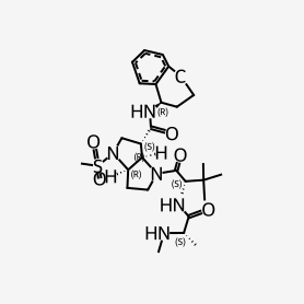 CN[C@@H](C)C(=O)N[C@H](C(=O)N1CC[C@@H]2[C@H]1[C@@H](C(=O)N[C@@H]1CCCc3ccccc31)CN2S(C)(=O)=O)C(C)(C)C